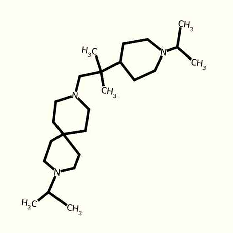 CC(C)N1CCC(C(C)(C)CN2CCC3(CC2)CCN(C(C)C)CC3)CC1